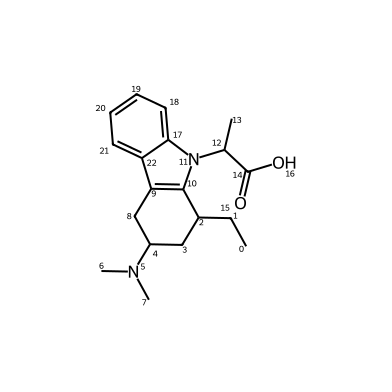 CCC1CC(N(C)C)Cc2c1n(C(C)C(=O)O)c1ccccc21